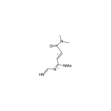 CNC(/C=C/C(=O)N(C)C)=N/C=N